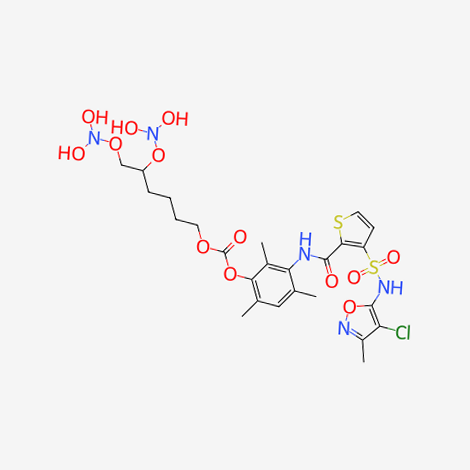 Cc1cc(C)c(OC(=O)OCCCCC(CON(O)O)ON(O)O)c(C)c1NC(=O)c1sccc1S(=O)(=O)Nc1onc(C)c1Cl